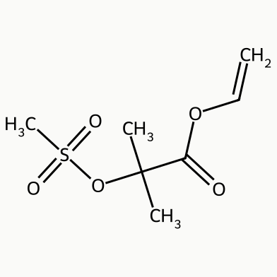 C=COC(=O)C(C)(C)OS(C)(=O)=O